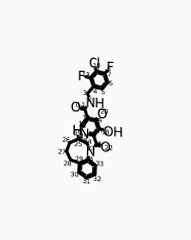 O=C(NCc1ccc(F)c(Cl)c1F)c1cn2c(c(O)c1=O)C(=O)N1C[C@@H]2CCCc2ccccc21